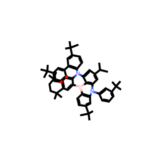 CC(C)c1cc2c3c(c1)N(c1ccc(C(C)(C)C)cc1-c1cccc(C(C)(C)C)c1)c1cc4c(cc1B3c1ccc(C(C)(C)C)cc1N2c1cccc(C(C)(C)C)c1)C(C)(C)CCC4(C)C